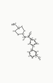 CCCN1CCC(N(C)C(=O)n2cnc(-c3ccc[n+]([O-])c3)c2)CC1